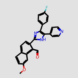 COc1ccc2ccc(-c3nc(-c4ccc(F)cc4)c(-c4ccncc4)[nH]3)c(C=O)c2c1